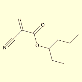 C=C(C#N)C(=O)OC(CC)CCC